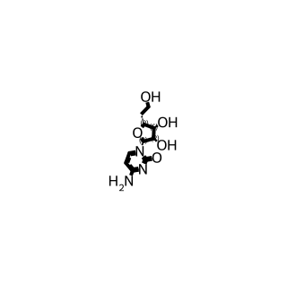 Nc1ccn([C@@H]2O[C@H](CCO)[C@@H](O)[C@H]2O)c(=O)n1